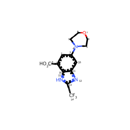 O=C(O)c1cc(N2CCOCC2)cc2nc(C(F)(F)F)[nH]c12